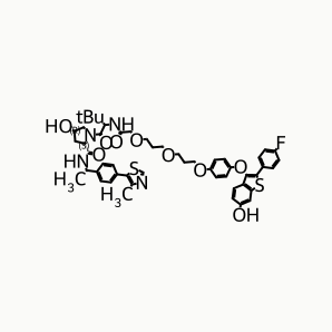 Cc1ncsc1-c1ccc(C(C)NC(=O)[C@@H]2C[C@@H](O)CN2C(=O)C(NC(=O)COCCCOCCCOc2ccc(Oc3c(-c4ccc(F)cc4)sc4cc(O)ccc34)cc2)C(C)(C)C)cc1